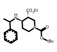 CCOC(=O)[C@@H]1CN(C(=O)OC(C)(C)C)CC[C@H]1NC(C)c1ccccc1